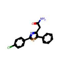 NC(=O)Cc1nc(-c2ccc(Cl)cc2)sc1-c1ccccc1